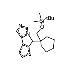 CC(C)(C)[Si](C)(C)OCC1(C2c3sccc3-c3cncn32)CCCCC1